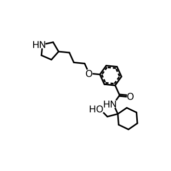 O=C(NC1(CO)CCCCC1)c1cccc(OCCCC2CCNC2)c1